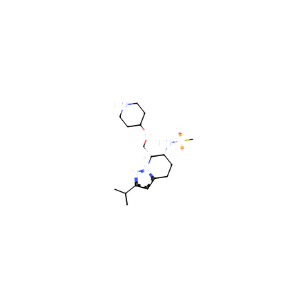 CC(C)c1cc2n(n1)[C@@H](COC1CCNCC1)[C@@H](NS(C)(=O)=O)CC2